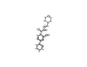 O=C(N/N=C/C1CCOCC1)c1cnc(-c2ccccn2)nc1O